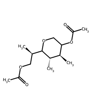 CC(=O)OC[C@@H](C)C1OCC(OC(C)=O)[C@@H](C)[C@@H]1C